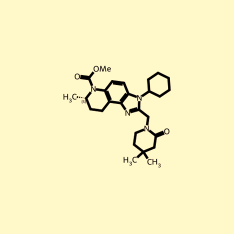 COC(=O)N1c2ccc3c(nc(CN4CCC(C)(C)CC4=O)n3C3CCCCC3)c2CC[C@@H]1C